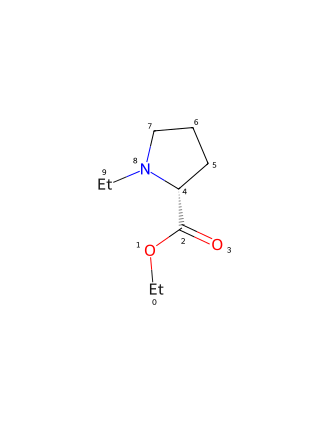 CCOC(=O)[C@H]1CCCN1CC